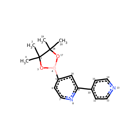 CC1(C)OB(c2ccnc(-c3ccncc3)c2)OC1(C)C